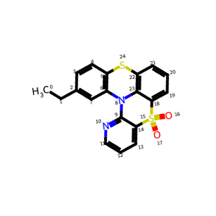 CCc1ccc2c(c1)N1c3ncccc3S(=O)(=O)c3cccc(c31)S2